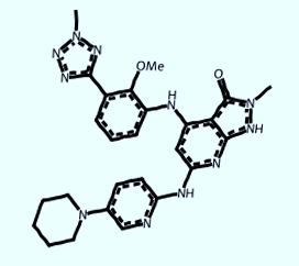 COc1c(Nc2cc(Nc3ccc(N4CCCCC4)cn3)nc3[nH]n(C)c(=O)c23)cccc1-c1nnn(C)n1